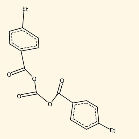 CCc1ccc(C(=O)OC(=O)OC(=O)c2ccc(CC)cc2)cc1